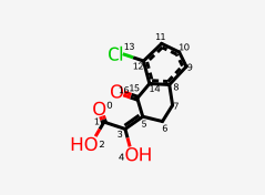 O=C(O)/C(O)=C1/CCc2cccc(Cl)c2C1=O